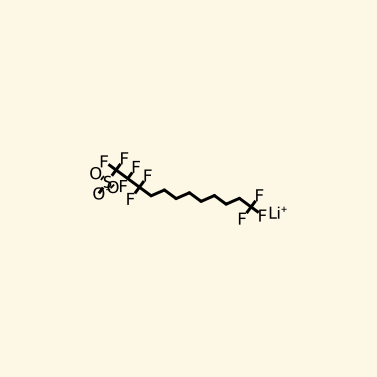 O=S(=O)([O-])C(F)(F)C(F)(F)C(F)(F)CCCCCCCCC(F)(F)F.[Li+]